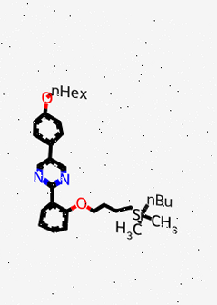 CCCCCCOc1ccc(-c2cnc(-c3ccccc3OCCCC[Si](C)(C)CCCC)nc2)cc1